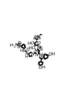 CCn1nnc([C@H]2O[C@@H](n3cnc4c(NCC(c5ccc(O)cc5)c5ccc(O)cc5)nc(N5CC[C@@H](NC(=O)Nc6cccc(S(N)(=O)=O)c6)C5)nc43)[C@H](O)[C@@H]2O)n1